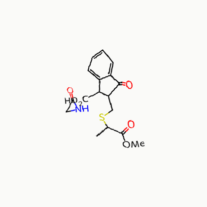 COC(=O)C(C)SCC1C(=O)c2ccccc2C1C(=O)O.O=C1CN1